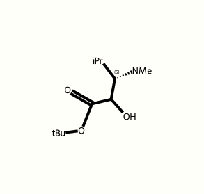 CN[C@@H](C(C)C)C(O)C(=O)OC(C)(C)C